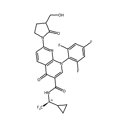 O=C(N[C@@H](C1CC1)C(F)(F)F)c1cn(-c2c(F)cc(F)cc2F)c2nc(N3CCC(CO)C3=O)ccc2c1=O